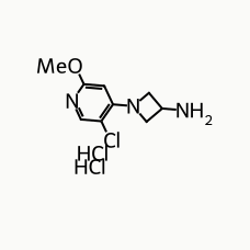 COc1cc(N2CC(N)C2)c(Cl)cn1.Cl.Cl